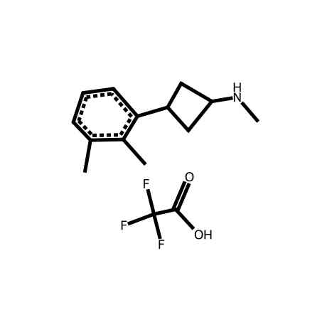 CNC1CC(c2cccc(C)c2C)C1.O=C(O)C(F)(F)F